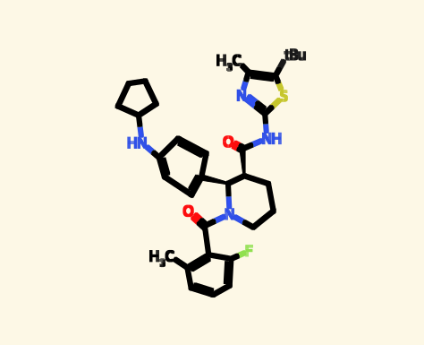 Cc1cccc(F)c1C(=O)N1CCC[C@H](C(=O)Nc2nc(C)c(C(C)(C)C)s2)[C@@H]1c1ccc(NC2CCCC2)cc1